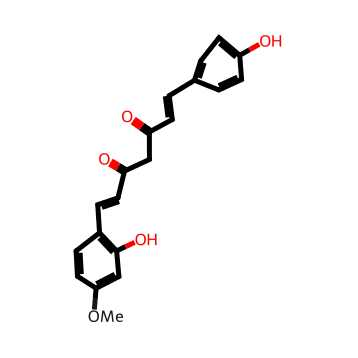 COc1ccc(C=CC(=O)CC(=O)C=Cc2ccc(O)cc2)c(O)c1